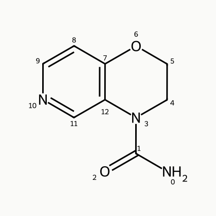 NC(=O)N1CCOc2ccncc21